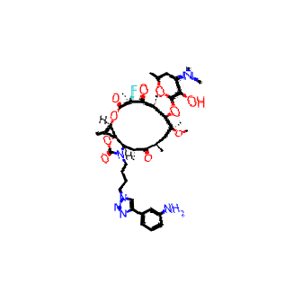 CO[C@@]1(C)C[C@@H](C)C(=O)[C@H](C)[C@H]2N(CCCCn3cc(-c4cccc(N)c4)nn3)C(=O)O[C@@]23C(C)[C@H]3OC(=O)[C@@](C)(F)C(=O)[C@H](C)[C@H]1OC1OC(C)CC(N(C)C)C1O